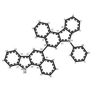 c1ccc(-n2c3ccccc3c3c4ccccc4c(-c4cc5c6ccccc6[nH]c5c5ccccc45)cc32)cc1